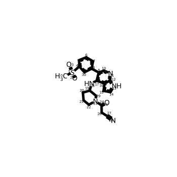 CS(=O)(=O)c1cccc(-c2cnc3[nH]ccc3c2NC2CCCN(C(=O)CC#N)C2)c1